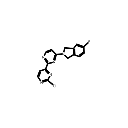 Fc1ccc2c(c1)CN(c1ccnc(-c3ccnc(Cl)n3)n1)C2